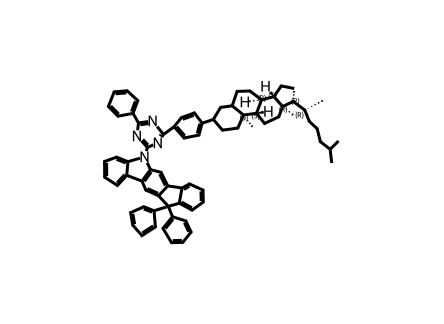 CC(C)CCC[C@@H](C)[C@H]1CC[C@H]2[C@@H]3CCC4CC(c5ccc(-c6nc(-c7ccccc7)nc(-n7c8ccccc8c8cc9c(cc87)-c7ccccc7C9(c7ccccc7)c7ccccc7)n6)cc5)CC[C@]4(C)[C@H]3CC[C@]12C